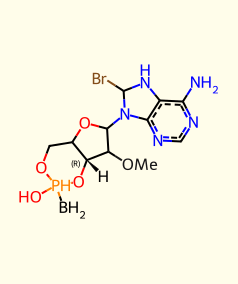 B[PH]1(O)OCC2OC(N3c4ncnc(N)c4NC3Br)C(OC)[C@@H]2O1